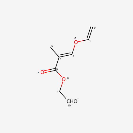 C=COC=C(C)C(=O)OCC=O